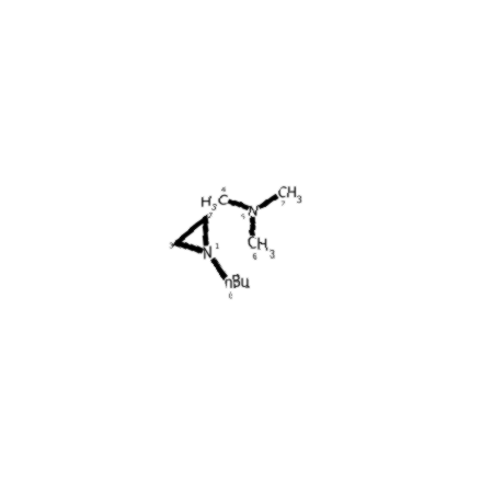 CCCCN1CC1.CN(C)C